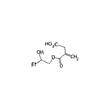 C=C(CC(=O)O)C(=O)OCC(O)CC